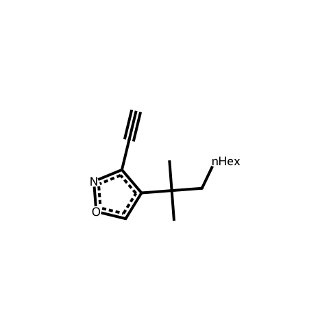 C#Cc1nocc1C(C)(C)CCCCCCC